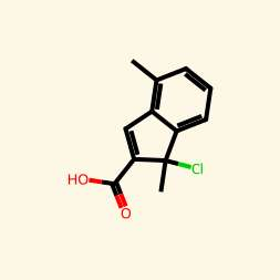 Cc1cccc2c1C=C(C(=O)O)C2(C)Cl